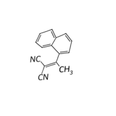 CC(=C(C#N)C#N)c1cccc2ccccc12